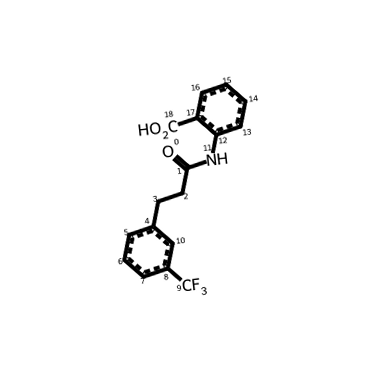 O=C(CCc1cccc(C(F)(F)F)c1)Nc1ccccc1C(=O)O